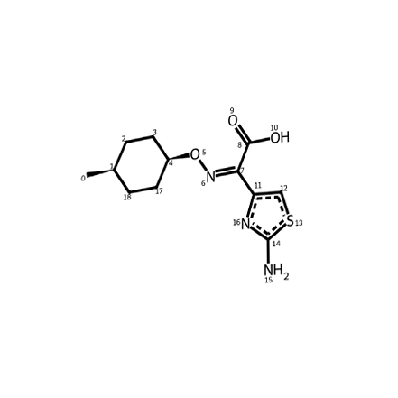 C[C@H]1CC[C@@H](O/N=C(\C(=O)O)c2csc(N)n2)CC1